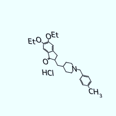 CCOc1cc2c(cc1OCC)C(=O)C(CC1CCN(Cc3ccc(C)cc3)CC1)C2.Cl